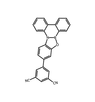 N#Cc1cc(C#N)cc(-c2ccc3c(c2)OB2c4ccccc4-c4ccccc4N23)c1